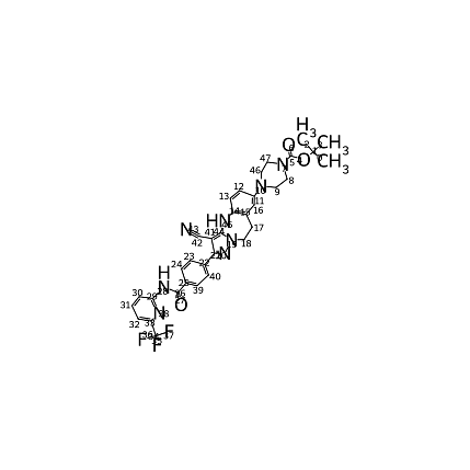 CC(C)(C)OC(=O)N1CCN(c2ccc3c(c2)CCn2nc(-c4ccc(C(=O)Nc5cccc(C(F)(F)F)n5)cc4)c(C#N)c2N3)CC1